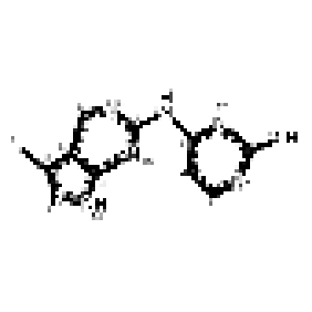 Cc1nccc(Nc2ncc3c(I)n[nH]c3n2)n1